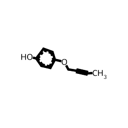 CC#CCOc1ccc(O)cc1